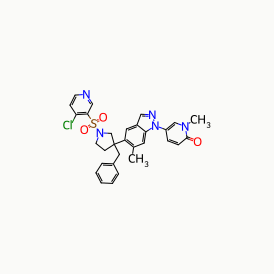 Cc1cc2c(cnn2-c2ccc(=O)n(C)c2)cc1C1(Cc2ccccc2)CCN(S(=O)(=O)c2cnccc2Cl)C1